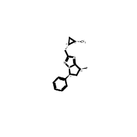 F[C@H]1C[C@@H](c2ccccc2)n2nc(C[C@@H]3C[C@@H]3C(F)(F)F)nc21